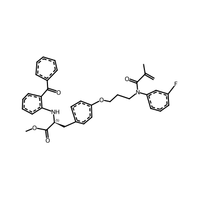 C=C(C)C(=O)N(CCCOc1ccc(C[C@H](Nc2ccccc2C(=O)c2ccccc2)C(=O)OC)cc1)c1cccc(F)c1